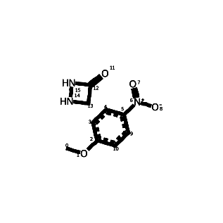 COc1ccc([N+](=O)[O-])cc1.O=C1CNN1